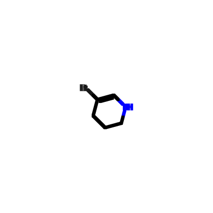 CCC1=CNCCC1